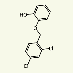 Oc1ccccc1OCc1ccc(Cl)cc1Cl